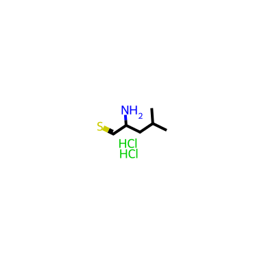 CC(C)CC(N)C=S.Cl.Cl